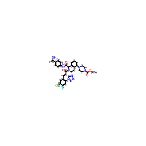 CC(C)(C)OC(=O)N1CCN(c2cccc3c2CCN(C(=O)C=Cc2cc(Cl)c(F)cc2-n2cnnn2)C3C(=O)Nc2ccc(C(N)=O)cc2)CC1